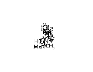 C#CC[C@H](NC(=O)[C@H](C)NC)C(=O)N1CCC[C@H]1CNC(=O)c1ccccc1O